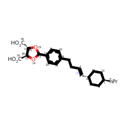 CCC[C@H]1CC[C@H](/C=C/CCc2ccc(C3O[C@@H](C(=O)O)[C@H](C(=O)O)O3)cc2)CC1